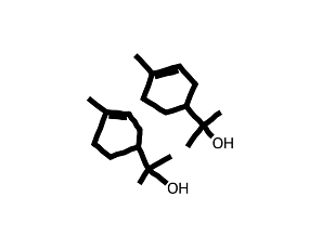 CC1=CCC(C(C)(C)O)CC1.CC1=CCC(C(C)(C)O)CC1